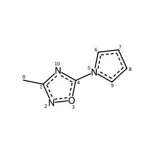 Cc1noc(-n2cccc2)n1